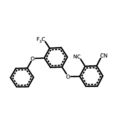 N#Cc1cccc(Oc2ccc(C(F)(F)F)c(Oc3ccccc3)c2)c1C#N